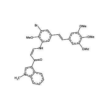 COc1cc(C=Cc2cc(Br)c(OC)c(N/C=C\C(=O)c3cn(C)c4ccccc34)c2)cc(OC)c1OC